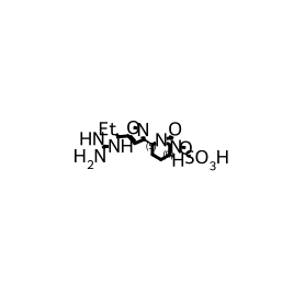 CCC(NC(=N)N)c1cc([C@@H]2CC[C@@H]3CN2C(=O)N3OS(=O)(=O)O)no1